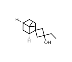 CCC1(O)CC2(CC[C@@H]3C[C@H]2C3(C)C)C1